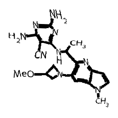 COC1CN(c2cc3c(ccn3C)nc2C(C)Nc2nc(N)nc(N)c2C#N)C1